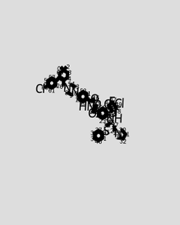 CC1(C)CCC(CN2CCN(c3ccc(C(=O)NS(=O)(=O)c4ccc(N[C@H](CCN5CCCC5)CSc5ccccc5)c(S(=O)(=O)C(F)(F)Cl)c4)cc3)CC2)=C(c2ccc(Cl)cc2)C1